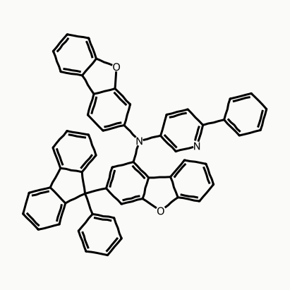 c1ccc(-c2ccc(N(c3ccc4c(c3)oc3ccccc34)c3cc(C4(c5ccccc5)c5ccccc5-c5ccccc54)cc4oc5ccccc5c34)cn2)cc1